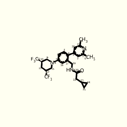 Cc1cc(-c2ccc(N3C[C@H](C(F)(F)F)C[C@H](C(F)(F)F)C3)cc2CNC(=O)CC2CC2)cc(C)n1